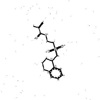 C=C(C)C(=O)OCCS(=O)(=O)CC1CCCc2ccccc21